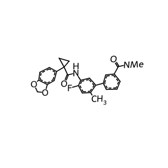 CNC(=O)c1cccc(-c2cc(NC(=O)C3(c4ccc5c(c4)OCO5)CC3)c(F)cc2C)c1